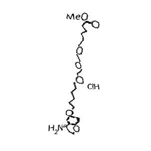 COC(=O)CCCCCOCCOCCOCCCCCCOc1ccc2c(c1)[C@H](N)CCO2.Cl